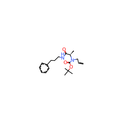 C=CCN(C(=O)OC(C)(C)C)[C@H](C)C(=O)NCCCc1ccccc1